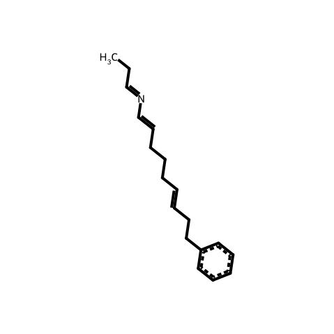 CCC=NC=CCCCC=CCCc1ccccc1